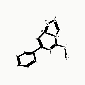 CCSc1nc(-c2ccccc2)cc2nncn12